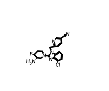 N#Cc1ccc(Cn2c(N3CC[C@@H](F)[C@H](N)C3)nc3c(Cl)cccc32)nc1